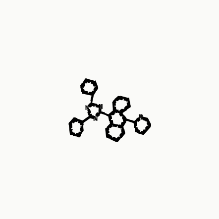 c1ccc(-c2nc(-c3ccccc3)nc(-c3c4ccccc4c(-c4ccccn4)c4ccccc34)n2)cc1